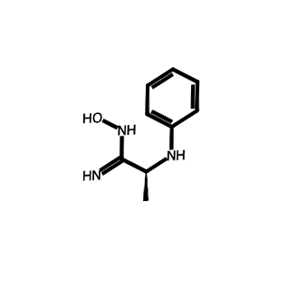 C[C@H](Nc1ccccc1)C(=N)NO